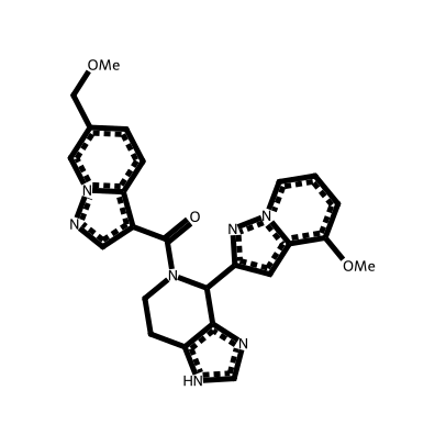 COCc1ccc2c(C(=O)N3CCc4[nH]cnc4C3c3cc4c(OC)cccn4n3)cnn2c1